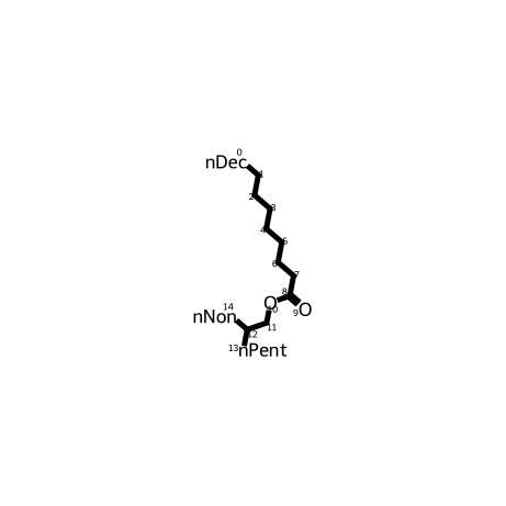 CCCCCCCCCCCCCCCCCC(=O)OCC(CCCCC)CCCCCCCCC